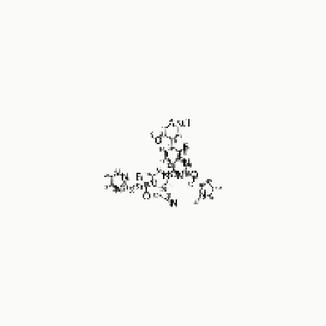 COc1ccc(Cl)cc1-c1ccc2c(N3CCN(C(=O)/C(F)=C/c4ncccn4)[C@@H](CC#N)C3)nc(OC[C@@H]3CCCN3C)nc2c1F